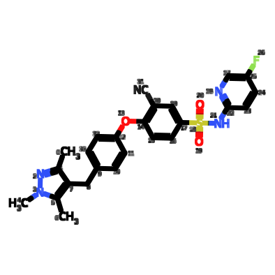 Cc1nn(C)c(C)c1Cc1ccc(Oc2ccc(S(=O)(=O)Nc3ccc(F)cn3)cc2C#N)cc1